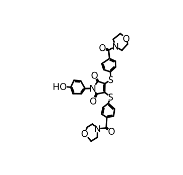 O=C(c1ccc(SC2=C(Sc3ccc(C(=O)N4CCOCC4)cc3)C(=O)N(c3ccc(O)cc3)C2=O)cc1)N1CCOCC1